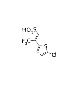 O=S(=O)(O)/C=C(/c1ccc(Cl)s1)C(F)(F)F